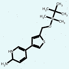 CC(C)(C)[Si](C)(C)OCc1cc(C2=CNC(N)C=C2)cs1